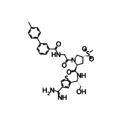 Cc1ccc(-c2cccc(C(=O)NCC(=O)N3C[C@H](S(C)(=O)=O)C[C@H]3C(=O)N[C@H](CO)c3cc(C(=N)N)cs3)c2)cc1